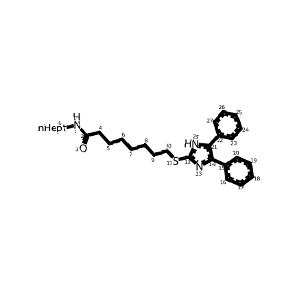 CCCCCCCNC(=O)CCCCCCCSc1nc(-c2ccccc2)c(-c2ccccc2)[nH]1